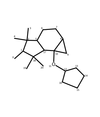 CC1C(C)(C)C2CCC3CC3(OC3CCCC3)C2C1(C)C